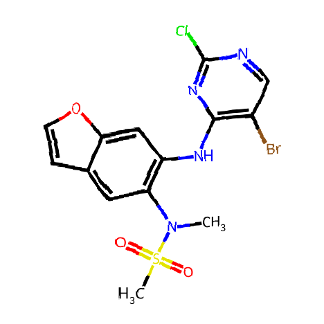 CN(c1cc2ccoc2cc1Nc1nc(Cl)ncc1Br)S(C)(=O)=O